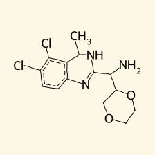 CC1NC(C(N)C2COCCO2)=Nc2ccc(Cl)c(Cl)c21